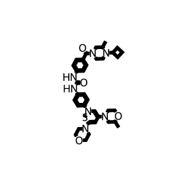 CC1CN(C2=CN(c3ccc(NC(=O)Nc4ccc(C(=O)N5CCN(C6CCC6)C(C)C5)cc4)cc3)SC(N3CCOCC3)=C2)CCO1